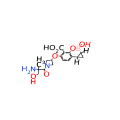 C[C@](N)(CO)C(=O)N1CC(Oc2ccc3c(c2C(=O)O)OB(O)[C@@H]2C[C@H]32)C1